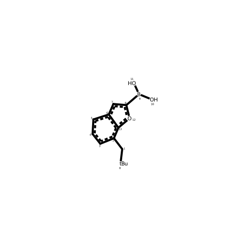 CC(C)(C)Cc1cccc2cc(B(O)O)oc12